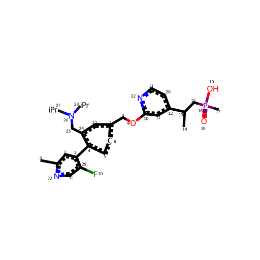 Cc1cc(-c2ccc(COc3cc(C(C)CP(C)(=O)O)ccn3)cc2CN(C(C)C)C(C)C)c(F)cn1